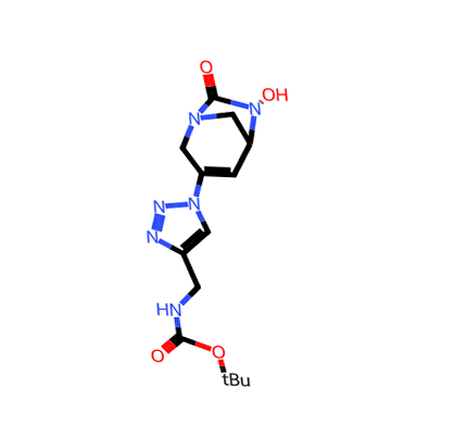 CC(C)(C)OC(=O)NCc1cn(C2=CC3CN(C2)C(=O)N3O)nn1